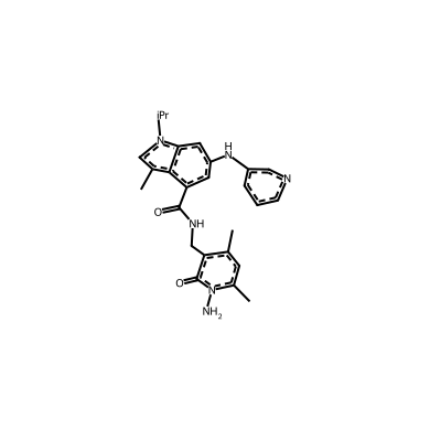 Cc1cc(C)n(N)c(=O)c1CNC(=O)c1cc(Nc2cccnc2)cc2c1c(C)cn2C(C)C